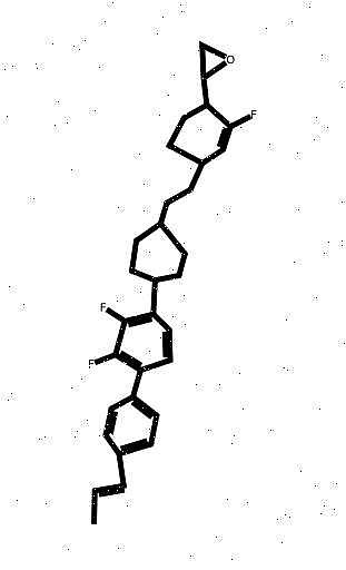 C/C=C/c1ccc(-c2ccc(C3CCC(CCC4C=C(F)C(C5CO5)CC4)CC3)c(F)c2F)cc1